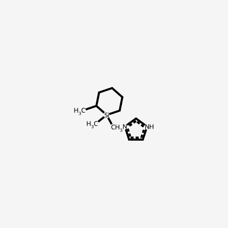 CC1CCCC[Si]1(C)C.c1c[nH]cn1